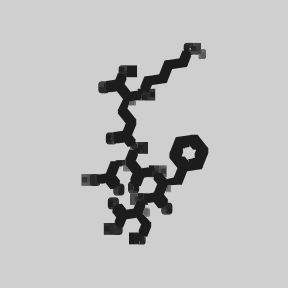 CCCCCN[C@@H](CCC(=O)N[C@@H](CC(=O)O)C(=O)N[C@@H](Cc1ccccc1)C(=O)N[C@@H](CS)C(=O)O)C(=O)O